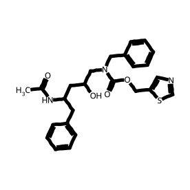 CC(=O)NC(Cc1ccccc1)CC(O)CN(Cc1ccccc1)C(=O)OCc1cncs1